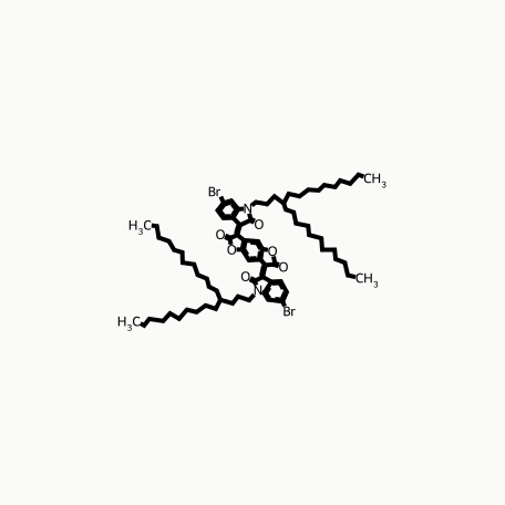 CCCCCCCCCCCCC(CCCCCCCCCC)CCCN1C(=O)C(=C2C(=O)Oc3cc4c(cc32)OC(=O)C4=C2C(=O)N(CCCC(CCCCCCCCCC)CCCCCCCCCCCC)c3cc(Br)ccc32)c2ccc(Br)cc21